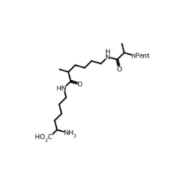 CCCCCC(C)C(=O)NCCCCC(C)C(=O)NCCCCC(N)C(=O)O